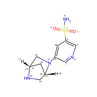 NS(=O)(=O)c1cncc(N2C[C@@H]3C[C@H]2CN3)c1